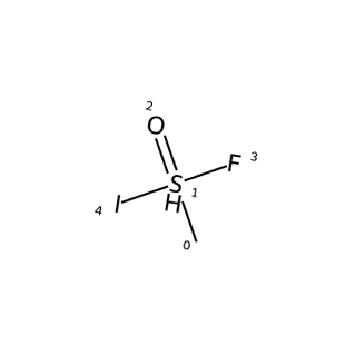 C[SH](=O)(F)I